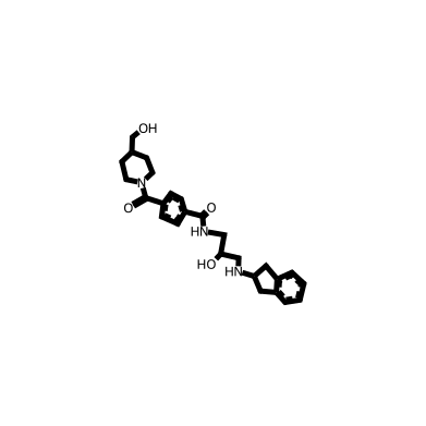 O=C(NCC(O)CNC1Cc2ccccc2C1)c1ccc(C(=O)N2CCC(CO)CC2)cc1